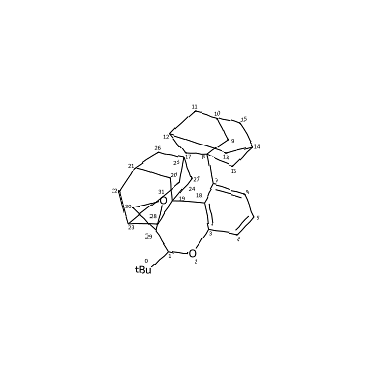 CC(C)(C)C(Oc1cccc(C23CC4CC(CC(C4)C2)C3)c1C12CC3CC(CC(C3)C1)C2)C1CO1